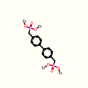 CCOP(=O)(Cc1ccc(-c2ccc(CP(=O)(OCC)OCC)cc2)cc1)OCC